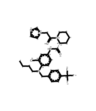 CCCCN(Cc1ccc(C(F)(F)F)cc1)c1ccc(NC(=O)[C@H]2CCCCN2C(=O)Cn2ccnc2)cc1Cl